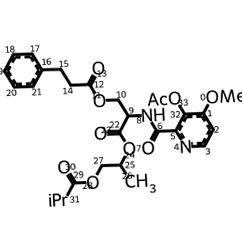 COc1ccnc(C(=O)NC(COC(=O)CCc2ccccc2)C(=O)OC(C)COC(=O)C(C)C)c1OC(C)=O